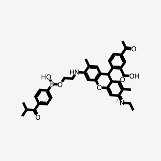 CC/N=C1/C=C2Oc3cc(NCCOB(O)c4ccc(C(=O)C(C)C)cc4)c(C)cc3C(c3ccc(C(C)=O)cc3C(=O)O)C2C=C1C